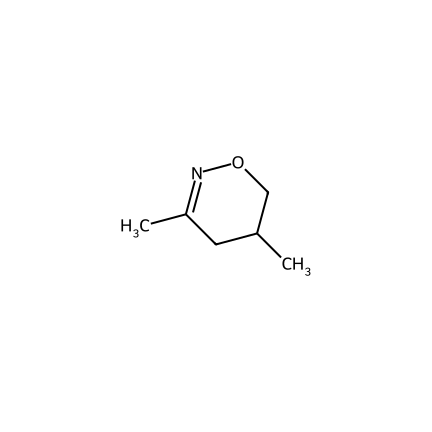 CC1=NOCC(C)C1